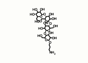 NCCCO[C@@H]1OC(CO)[C@@H](O[C@@H]2OC(CO)[C@@H](O[C@H]3OC(CO)[C@H](O[C@H]4OC(CO)[C@H](O)C(O)C4O)C(O)C3O)C(O)C2O)C(O)C1O